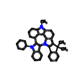 Cn1c2cccc3c2c2c1ccc1c4c(n(c12)c1c2ccccc2n(-c2ccccc2)c31)-c1ccccc1C4(C)C